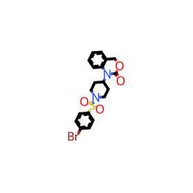 O=C1OCc2ccccc2N1C1CCN(S(=O)(=O)c2ccc(Br)cc2)CC1